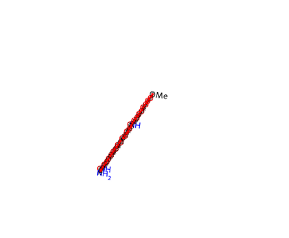 COCCOCCOCCOCCOCCOCCOCCOCCOCCNC(=O)CCOCCOCCOCCOCCOCCOCCOCCOCCOCCOCCOCCOCCNC(=O)CCN